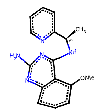 COc1cccc2nc(N)nc(N[C@H](C)c3ccccn3)c12